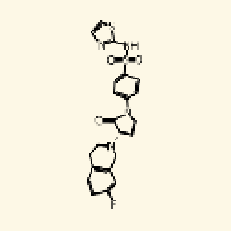 O=C1[C@@H](N2CCc3ccc(F)cc3C2)CCN1c1ccc(S(=O)(=O)Nc2nccs2)cc1